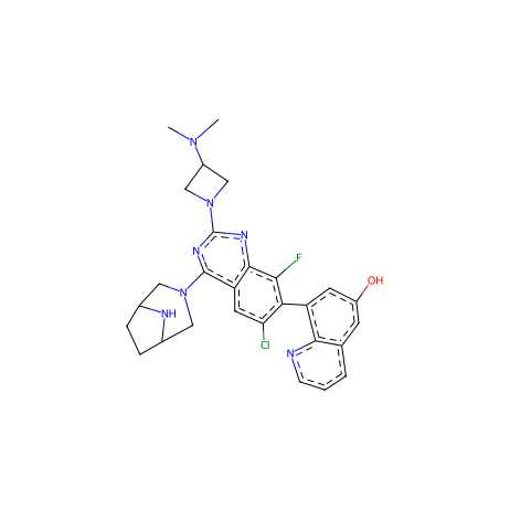 CN(C)C1CN(c2nc(N3CC4CCC(C3)N4)c3cc(Cl)c(-c4cc(O)cc5cccnc45)c(F)c3n2)C1